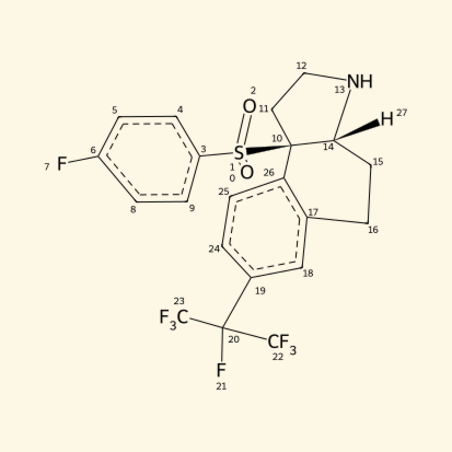 O=S(=O)(c1ccc(F)cc1)[C@@]12CCN[C@@H]1CCc1cc(C(F)(C(F)(F)F)C(F)(F)F)ccc12